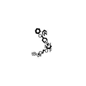 CC(C)(C)[Si](C)(C)OCCOc1nc(N2CCC(C(=O)N3N=CC[C@H]3c3ccccc3)CC2)ncc1F